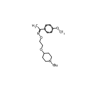 CC(=NOCCOC1CCN(C(C)(C)C)CC1)c1ccc(OC(F)(F)F)cc1